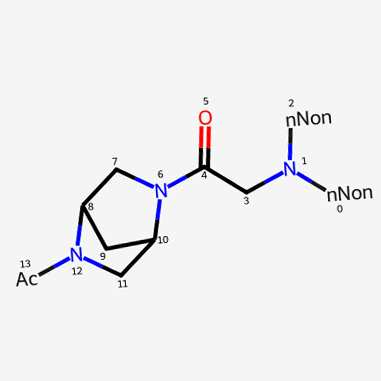 CCCCCCCCCN(CCCCCCCCC)CC(=O)N1CC2CC1CN2C(C)=O